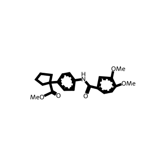 COC(=O)C1(c2ccc(NC(=O)c3ccc(OC)c(OC)c3)cc2)CCCC1